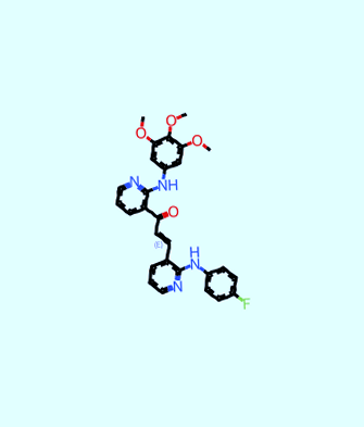 COc1cc(Nc2ncccc2C(=O)/C=C/c2cccnc2Nc2ccc(F)cc2)cc(OC)c1OC